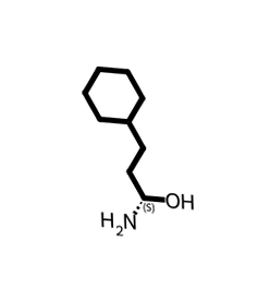 N[C@@H](O)CCC1CCCCC1